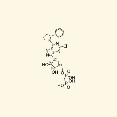 O=P(O)(O)CP(=O)(O)OC[C@H]1C[C@@H](n2nnc3c(N4CCCC4c4ccccc4)nc(Cl)nc32)[C@H](O)[C@@H]1O